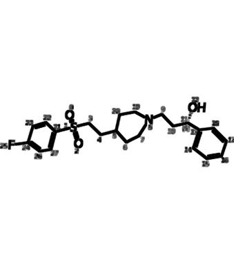 O=S(=O)(CCC1CCN(CC[C@H](O)c2ccccc2)CC1)c1ccc(F)cc1